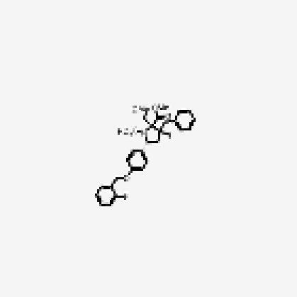 COC[C@]1(C(=O)OC)N(C(=O)O)[C@@H](c2ccc(OCc3ccccc3F)cc2)CC1(I)Cc1ccccc1